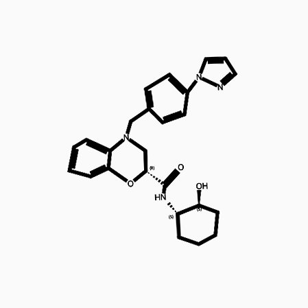 O=C(N[C@H]1CCCC[C@@H]1O)[C@H]1CN(Cc2ccc(-n3cccn3)cc2)c2ccccc2O1